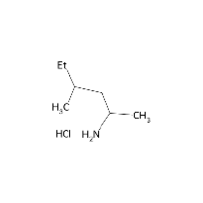 CCC(C)CC(C)N.Cl